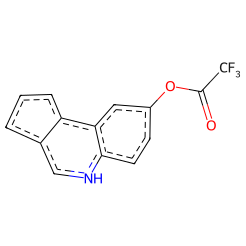 O=C(Oc1ccc2[nH]cc3cccc-3c2c1)C(F)(F)F